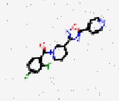 O=C(c1ccc(F)cc1F)N1CCCC(c2noc(-c3ccncc3)n2)C1